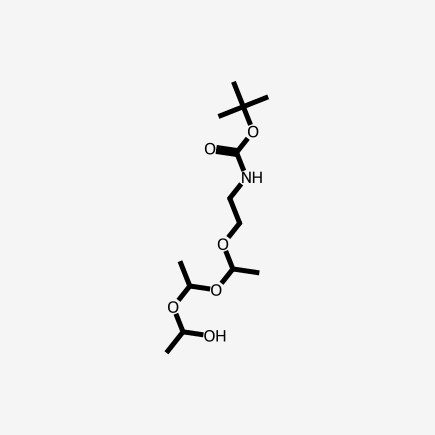 CC(O)OC(C)OC(C)OCCNC(=O)OC(C)(C)C